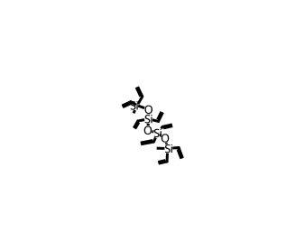 C=C[Si](C)(C=C)O[Si](C=C)(C=C)O[Si](C=C)(C=C)O[Si](C)(C=C)C=C